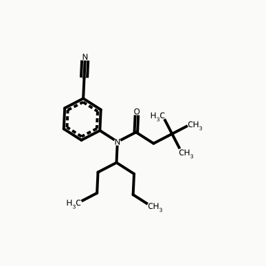 CCCC(CCC)N(C(=O)CC(C)(C)C)c1cccc(C#N)c1